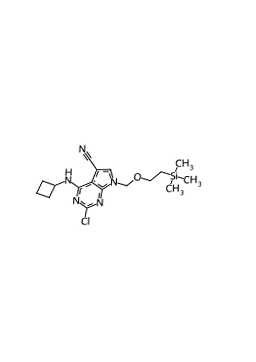 C[Si](C)(C)CCOCn1cc(C#N)c2c(NC3CCC3)nc(Cl)nc21